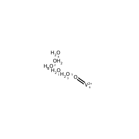 O.O.O.O.O.[O]=[V+2]